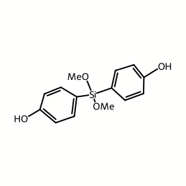 CO[Si](OC)(c1ccc(O)cc1)c1ccc(O)cc1